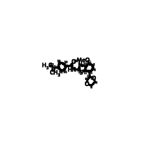 COc1ccc(C2COCCO2)c2sc(NC(=O)c3ccc(N(C)C)cc3)nc12